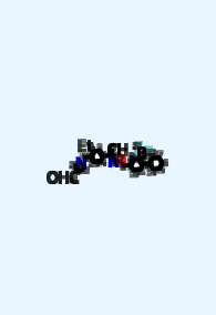 CCc1cc(/C(C)=N/OCc2ccc(C3CCCCC3)c(B(F)F)c2)ccc1CN1CC(C=O)C1